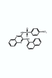 O=[N+]([O-])c1ccc(S(=O)(=O)Nc2nc3ccccc3nc2Nc2cccc3ccccc23)cc1